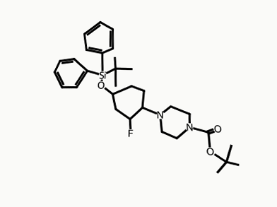 CC(C)(C)OC(=O)N1CCN(C2CCC(O[Si](c3ccccc3)(c3ccccc3)C(C)(C)C)CC2F)CC1